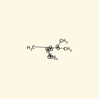 CCCCCCCCCCCCC(CCOC(=O)CCCCC(OCCCCCC)OCCCCCC)OC(=O)OCCCN(CC)CC